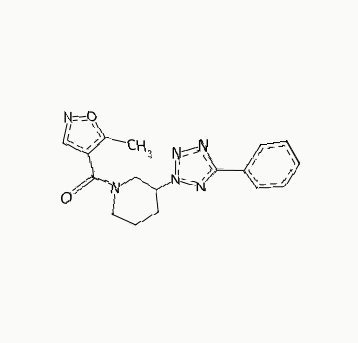 Cc1oncc1C(=O)N1CCCC(n2nnc(-c3ccccc3)n2)C1